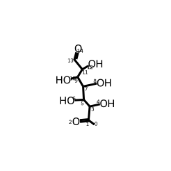 CC(=O)C(O)C(O)C(O)C(O)C(O)C=O